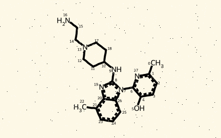 Cc1ccc(O)c(-n2c(NC3CCN(CCN)CC3)nc3c(C)cccc32)n1